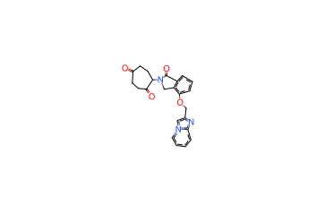 O=C1CCC(=O)C(N2Cc3c(OCc4cn5ccccc5n4)cccc3C2=O)CC1